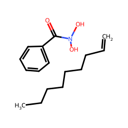 C=CCCCCCCC.O=C(c1ccccc1)N(O)O